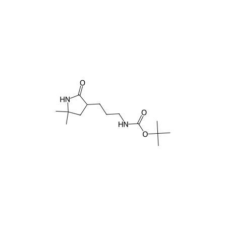 CC1(C)CC(CCCNC(=O)OC(C)(C)C)C(=O)N1